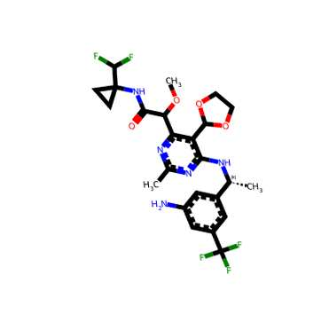 COC(C(=O)NC1(C(F)F)CC1)c1nc(C)nc(N[C@H](C)c2cc(N)cc(C(F)(F)F)c2)c1C1OCCO1